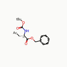 CC(=O)C[C@H](NC(=O)OC(C)(C)C)C(=O)OCc1ccccc1